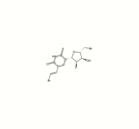 O=c1[nH]c(=O)n([C@@H]2O[C@H](CBr)[C@@H](O)[C@H]2F)cc1C=CBr